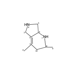 CC1=C2CNCC2NC(C)C1